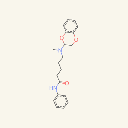 CN(CCCCC(=O)Nc1ccccc1)C1COc2ccccc2O1